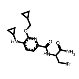 CC(C)CC(NC(=O)c1ccc(NC2CC2)c(OCC2CC2)n1)C(N)=O